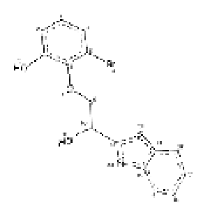 Oc1cccc(Br)c1OCC(O)c1nc2ccccc2s1